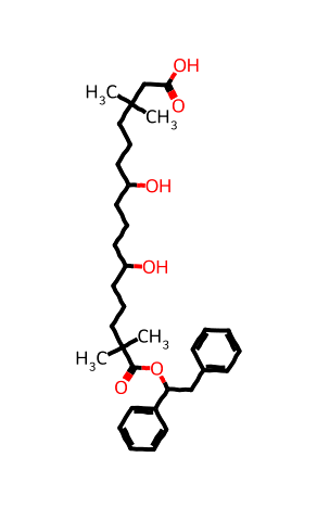 CC(C)(CCCC(O)CCCC(O)CCCC(C)(C)C(=O)OC(Cc1ccccc1)c1ccccc1)CC(=O)O